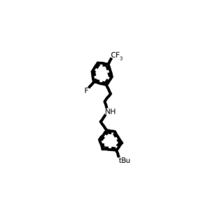 CC(C)(C)c1ccc(CNCCc2cc(C(F)(F)F)ccc2F)cc1